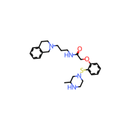 CC1CN(Sc2ccccc2OCC(=O)NCCCN2CCc3ccccc3C2)CCN1